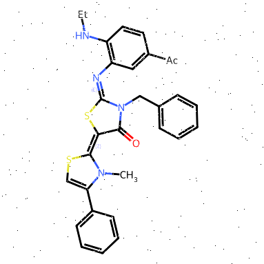 CCNc1ccc(C(C)=O)cc1/N=C1/S/C(=C2\SC=C(c3ccccc3)N2C)C(=O)N1Cc1ccccc1